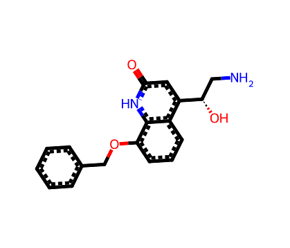 NC[C@H](O)c1cc(=O)[nH]c2c(OCc3ccccc3)cccc12